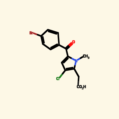 Cn1c(C(=O)c2ccc(Br)cc2)cc(Cl)c1CC(=O)O